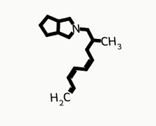 C=C/C=C\C=C/CC(C)CN1CC2CCCC2C1